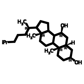 CC(C)CCC[C@@H](C)C1CCC2C3C(CC[C@@]21C)[C@@]1(C)CC[C@H](O)C[C@@H]1C[C@@H]3O